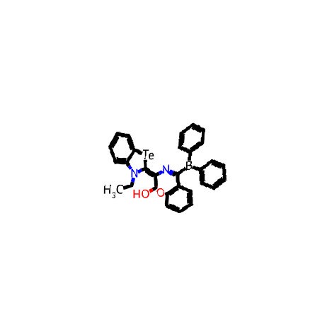 CCN1C(=C(N=C(B(c2ccccc2)c2ccccc2)c2ccccc2)C(=O)O)[Te]c2ccccc21